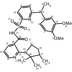 COc1ccc(N(C)c2cccc(S(=O)(=O)NC(=O)c3cccnc3N3CCC(C)C3(C)C)n2)cc1OC